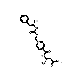 C[C@H](CC(N)=O)NC(=O)c1cc[n+](COC(=O)N[C@@H](C)Cc2ccccc2)cc1